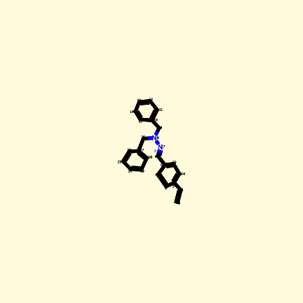 C=Cc1ccc(/C=N/N(Cc2ccccc2)Cc2ccccc2)cc1